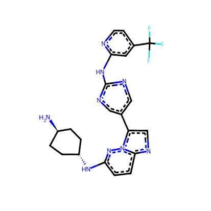 N[C@H]1CC[C@H](Nc2ccc3ncc(-c4cnc(Nc5cc(C(F)(F)F)ccn5)nc4)n3n2)CC1